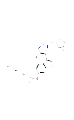 CNCCCCN(C)C(=O)c1ccc2c(-c3nc(N[C@H]4CC[C@H](C)C4)ncc3C(F)(F)F)c[nH]c2c1P(C)(C)=O